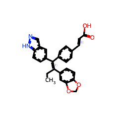 CC/C(=C(/c1ccc(/C=C/C(=O)O)cc1)c1ccc2[nH]ncc2c1)c1ccc2c(c1)OCO2